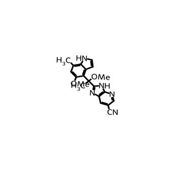 COc1cc(C)c2[nH]ccc2c1C(C)(OC)c1nc2cc(C#N)cnc2[nH]1